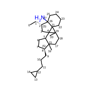 CC[C@H]1CC23C4CC[C@H](CCCC5CC5)C4(C)CCC2(C)C32CCCCC12N